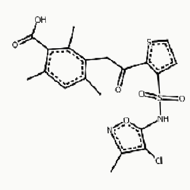 Cc1cc(C)c(C(=O)O)c(C)c1CC(=O)c1sccc1S(=O)(=O)Nc1onc(C)c1Cl